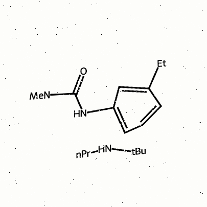 CCCNC(C)(C)C.CCc1cccc(NC(=O)NC)c1